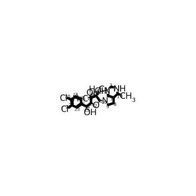 CC1NCN(C)C2C1CCN2[C@@H]1O[C@H]([C@H](O)c2ccc(Cl)c(Cl)c2)[C@@](C)(O)[C@H]1O